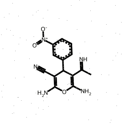 CC(=N)C1=C(N)OC(N)=C(C#N)C1c1cccc([N+](=O)[O-])c1